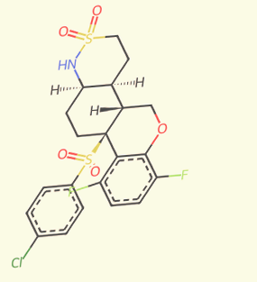 O=S1(=O)CC[C@@H]2[C@@H](CC[C@@]3(S(=O)(=O)c4ccc(Cl)cc4)c4c(F)ccc(F)c4OC[C@@H]23)N1